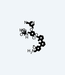 COc1cc(-c2cccc(-c3cccc(COc4cc(OCc5cncc(C#N)c5)c(CN[C@@](C)(CO)C(=O)O)cc4Cl)c3C)c2C)ccc1CN